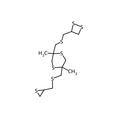 CC1(CSCC2CS2)CSC(C)(CSCC2CSS2)CS1